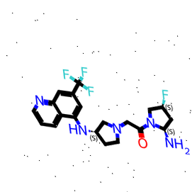 N[C@@H]1C[C@H](F)CN1C(=O)CN1CC[C@H](Nc2cc(C(F)(F)F)cc3ncccc23)C1